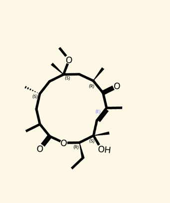 CC[C@H]1OC(=O)C(C)C[C@H](C)C[C@](C)(OC)C[C@@H](C)C(=O)/C(C)=C/[C@]1(C)O